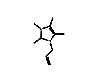 C=CCN1C(C)=C(C)N(C)C1C